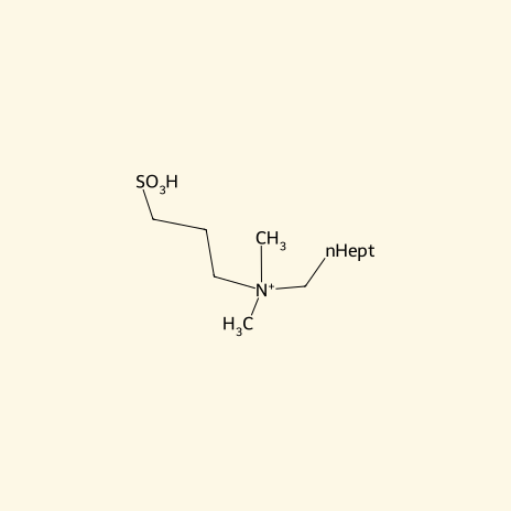 CCCCCCCC[N+](C)(C)CCCS(=O)(=O)O